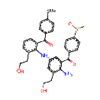 CSc1ccc(C(=O)c2cccc(CCO)c2N)cc1.C[S+]([O-])c1ccc(C(=O)c2cccc(CCO)c2N)cc1